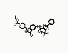 CCOC(=O)N1CCC(n2[nH]c(=O)c3cc(NC(=O)c4nc(-c5ccccc5)oc4C(F)(F)F)ccc32)CC1